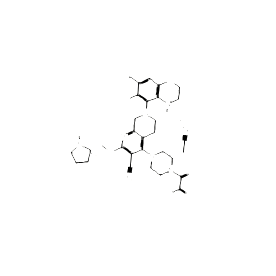 C=C(F)C(=O)N1CCN(c2c(C#N)c(OC[C@@H]3CCCN3C)nc3c2CCN(c2c(F)c(Cl)cc4c2N(C)CCO4)C3)C[C@@H]1CC#N